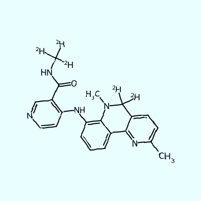 [2H]C([2H])([2H])NC(=O)c1cnccc1Nc1cccc2c1N(C)C([2H])([2H])c1ccc(C)nc1-2